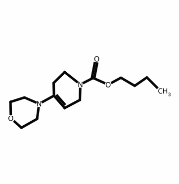 CCCCOC(=O)N1CC=C(N2CCOCC2)CC1